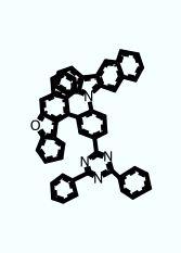 c1ccc(-c2nc(-c3ccccc3)nc(-c3ccc(-n4c5ccccc5c5cc6ccccc6cc54)c(-c4c5ccccc5cc5oc6ccccc6c45)c3)n2)cc1